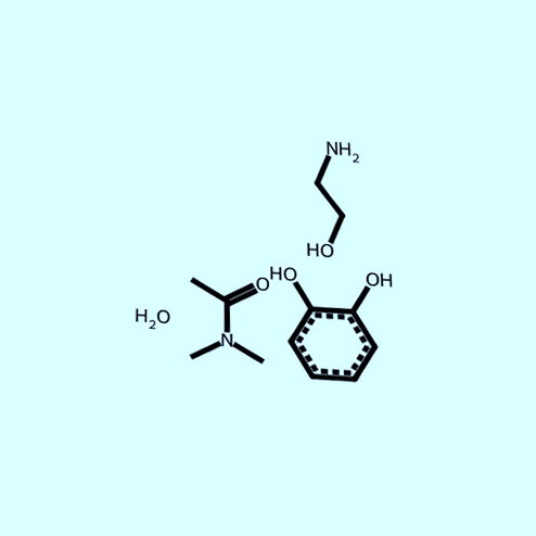 CC(=O)N(C)C.NCCO.O.Oc1ccccc1O